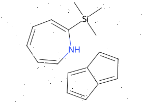 C1=CC2=CC=CC2=C1.C[Si](C)(C)C1=CC=CC=CN1